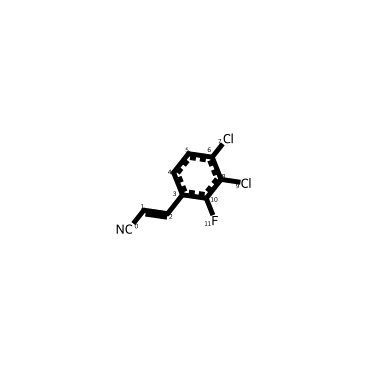 N#C/C=C/c1ccc(Cl)c(Cl)c1F